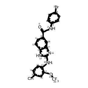 O=C(Nc1ccc(Br)cc1)c1ccc2[nH]c(Nc3ccc(Cl)cc3OC(F)(F)F)nc2c1